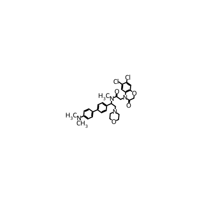 CN(C)c1ccc(-c2ccc(C(CN3CCOCC3)N(C)C(=O)CN3C(=O)COc4cc(Cl)c(Cl)cc43)cc2)cc1